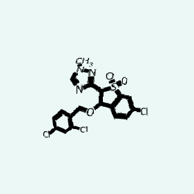 Cn1cnc(C2C(OCc3ccc(Cl)cc3Cl)c3ccc(Cl)cc3S2(=O)=O)n1